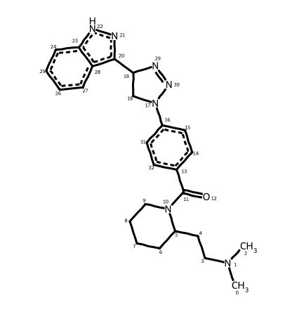 CN(C)CCC1CCCCN1C(=O)c1ccc(N2CC(c3n[nH]c4ccccc34)N=N2)cc1